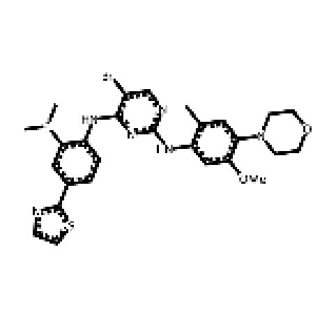 COc1cc(Nc2ncc(Br)c(Nc3ccc(-c4nccs4)cc3P(C)C)n2)c(C)cc1N1CCOCC1